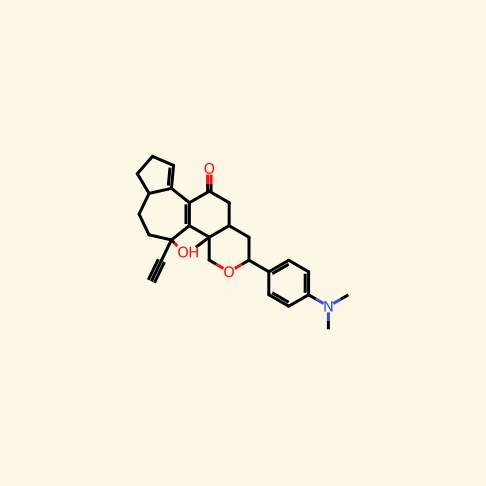 C#CC1(O)CCC2CCC=C2C2=C1C1(C)COC(c3ccc(N(C)C)cc3)CC1CC2=O